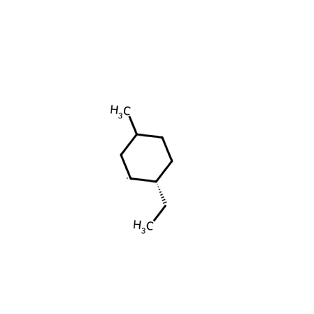 CC[C@@H]1[CH]CC(C)CC1